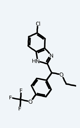 CCOC(c1ccc(OC(F)(F)F)cc1)c1nc2cc(Cl)ccc2[nH]1